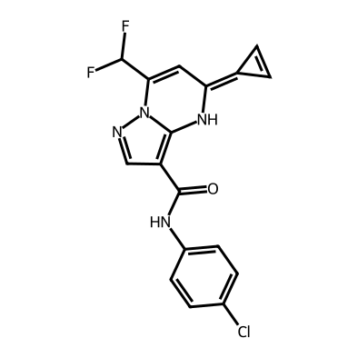 O=C(Nc1ccc(Cl)cc1)c1cnn2c1NC(=C1C=C1)C=C2C(F)F